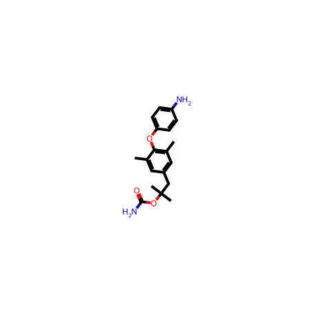 Cc1cc(CC(C)(C)OC(N)=O)cc(C)c1Oc1ccc(N)cc1